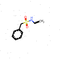 C=CNS(=O)(=O)Cc1ccccc1